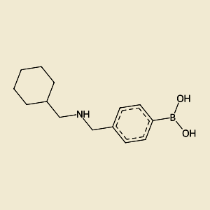 OB(O)c1ccc(CNCC2CCCCC2)cc1